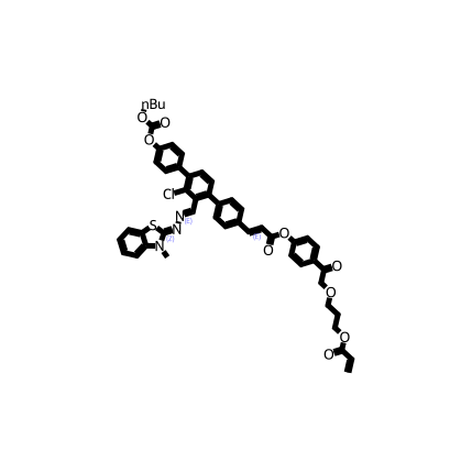 C=CC(=O)OCCCOCC(=O)c1ccc(OC(=O)/C=C/c2ccc(-c3ccc(-c4ccc(OC(=O)OCCCC)cc4)c(Cl)c3/C=N/N=c3\sc4ccccc4n3C)cc2)cc1